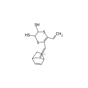 C=CC1=C(/C=C2\CC3C=CC2CC3)SC(S)C(S)S1